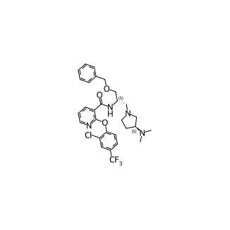 CN(C)[C@H]1CCN(C[C@@H](COCc2ccccc2)NC(=O)c2cccnc2Oc2ccc(C(F)(F)F)cc2Cl)C1